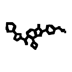 O=C(c1ccc2[nH]c(-c3ccc(OC(F)(F)F)cc3)nc2c1C1CCC1)N1CCC(c2cccnc2)C1